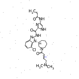 C=CC(=O)Nc1c[nH]c(C(=O)Nc2nc3cccc(Cl)c3n2[C@@H]2CCCCN(C(=O)/C=C/CN(C)C)C2)n1